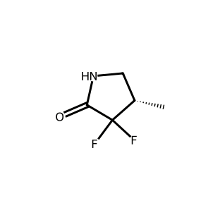 C[C@H]1CNC(=O)C1(F)F